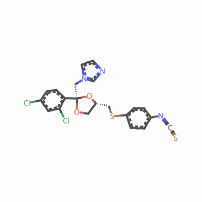 S=C=Nc1ccc(SC[C@@H]2CO[C@@](Cn3ccnc3)(c3ccc(Cl)cc3Cl)O2)cc1